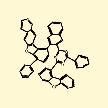 c1ccc(-c2nc(-c3cc4ccccc4cc3-c3ccc(-c4ccccc4)c4oc5cc6ccncc6cc5c34)nc(-c3cccc4oc5ccccc5c34)n2)cc1